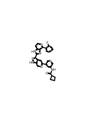 O=C(Nc1cncc(-c2cc3c(-c4nc5c(-c6ccccc6F)nccc5[nH]4)n[nH]c3cn2)c1)C1CCC1